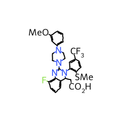 COc1cccc(N2CCN(C3=Nc4c(F)cccc4C(CC(=O)O)N3c3cc(C(F)(F)F)ccc3SC)CC2)c1